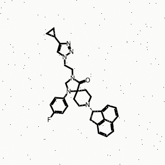 O=C1N(CCn2cc(C3CC3)nn2)CN(c2ccc(F)cc2)C12CCN([C@H]1Cc3cccc4cccc1c34)CC2